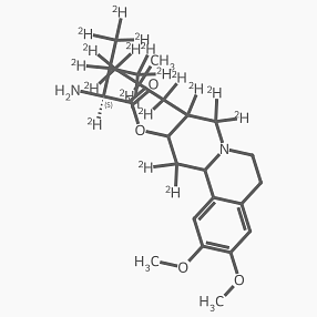 [2H]C1([2H])C2c3cc(OC)c(OC)cc3CCN2C([2H])([2H])C([2H])(C([2H])([2H])C([2H])(C)C([2H])([2H])[2H])C1OC(=O)[C@@]([2H])(N)C([2H])(C([2H])([2H])[2H])C([2H])([2H])[2H]